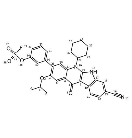 CC(C)Oc1cc2c(=O)c3c4ccc(C#N)cc4[nH]c3n(C3CCCCC3)c2cc1-c1cccc(OS(=O)(=O)F)c1